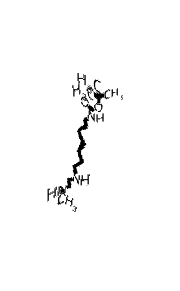 CNCCNCCCCCCCNC(=O)OC(C)(C)C